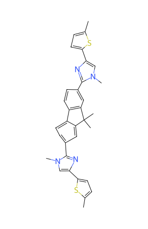 Cc1ccc(-c2cn(C)c(-c3ccc4c(c3)C(C)(C)c3cc(-c5nc(-c6ccc(C)s6)cn5C)ccc3-4)n2)s1